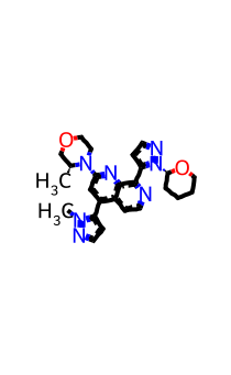 C[C@@H]1COCCN1c1cc(-c2ccnn2C)c2ccnc(-c3ccnn3[C@H]3CCCCO3)c2n1